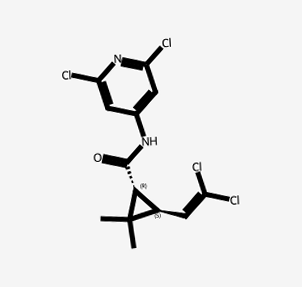 CC1(C)[C@H](C=C(Cl)Cl)[C@H]1C(=O)Nc1cc(Cl)nc(Cl)c1